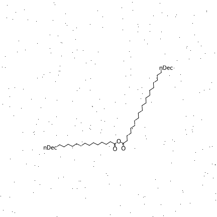 CCCCCCCCCCCCCCCCCCCCCCCCCCCCCC(=O)OC(=O)CCCCCCCCCCCCCCCCCCCCCCC